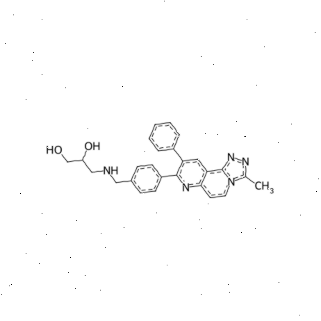 Cc1nnc2c3cc(-c4ccccc4)c(-c4ccc(CNCC(O)CO)cc4)nc3ccn12